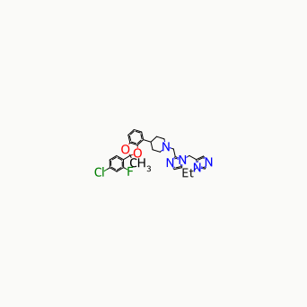 CCn1cncc1Cn1ccnc1CN1CCC(c2cccc3c2OC(C)(c2ccc(Cl)cc2F)O3)CC1